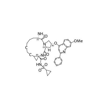 COc1ccc2c(O[C@@H]3C[C@H]4C(=O)N[C@]5(C(=O)NS(=O)(=O)C6CC6)CC5CCCCCC[C@H](N)C(=O)N4C3)cc(-c3ccccc3)nc2c1